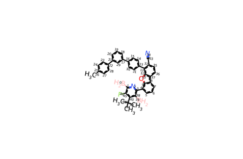 Bc1nc(-c2cccc3c2oc2c(-c4ccc(-c5cccc(-c6ccc(C)cc6)c5)cc4)c(C#N)ccc23)c(B)c(C(C)(C)C)c1F